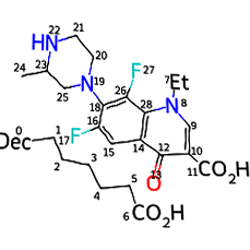 CCCCCCCCCCCCCCCC(=O)O.CCn1cc(C(=O)O)c(=O)c2cc(F)c(N3CCNC(C)C3)c(F)c21